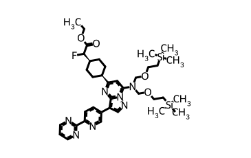 CCOC(=O)C(F)[C@H]1CC[C@@H](c2cc(N(COCC[Si](C)(C)C)COCC[Si](C)(C)C)n3ncc(-c4ccc(-c5ncccn5)nc4)c3n2)CC1